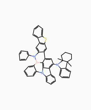 CC12CCCCC1(C)N(c1cc3c4c5c1c1ccccc1n5-c1ccccc1B4N(c1ccccc1)c1cc4c(cc1-3)sc1ccccc14)c1ccccc12